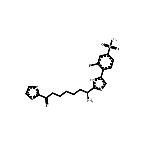 CS(=O)(=O)c1ccc(-c2cnc([C@@H](N)CCCCCC(=O)c3ncco3)[nH]2)c(F)c1